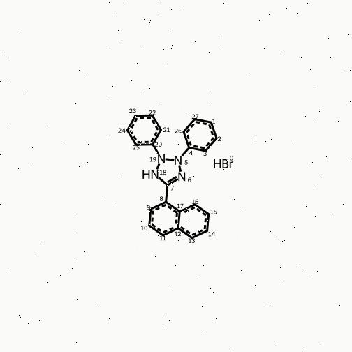 Br.c1ccc(N2N=C(c3cccc4ccccc34)NN2c2ccccc2)cc1